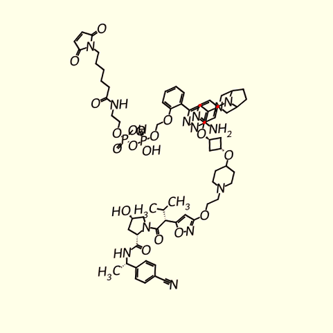 CC(C)[C@@H](C(=O)N1C[C@H](O)C[C@H]1C(=O)N[C@@H](C)c1ccc(C#N)cc1)c1cc(OCCN2CCC(O[C@H]3C[C@H](Oc4cc(N5C6CCC5CN(c5cc(-c7ccccc7OCOP(=O)(O)OP(=O)(O)OCCNC(=O)CCCCCN7C(=O)C=CC7=O)nnc5N)C6)ccn4)C3)CC2)no1